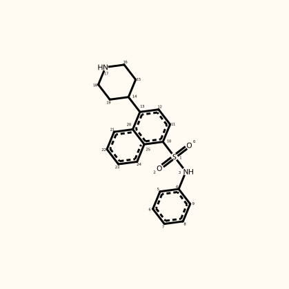 O=S(=O)(Nc1ccccc1)c1ccc(C2CCNCC2)c2ccccc12